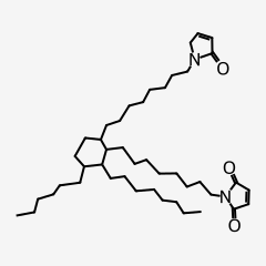 CCCCCCCCC1C(CCCCCC)CCC(CCCCCCCCN2CC=CC2=O)C1CCCCCCCCN1C(=O)C=CC1=O